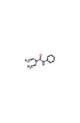 C=CN(C=C)C(=O)Nc1ccccc1